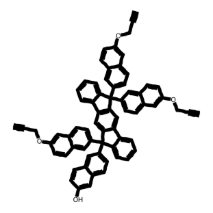 C#CCOc1ccc2cc(C3(c4ccc5cc(O)ccc5c4)c4ccccc4-c4cc5c(cc43)-c3ccccc3C5(c3ccc4cc(OCC#C)ccc4c3)c3ccc4cc(OCC#C)ccc4c3)ccc2c1